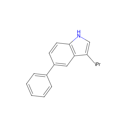 CC(C)c1c[nH]c2ccc(-c3ccccc3)cc12